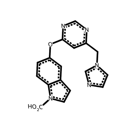 O=C(O)n1ccc2cc(Oc3cc(Cn4ccnc4)ncn3)ccc21